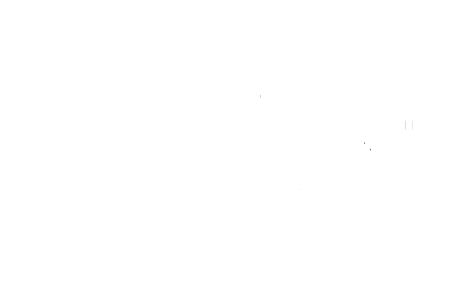 CCCCCC=C(C)C1CN(C)CCO1